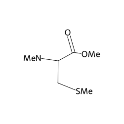 CNC(CSC)C(=O)OC